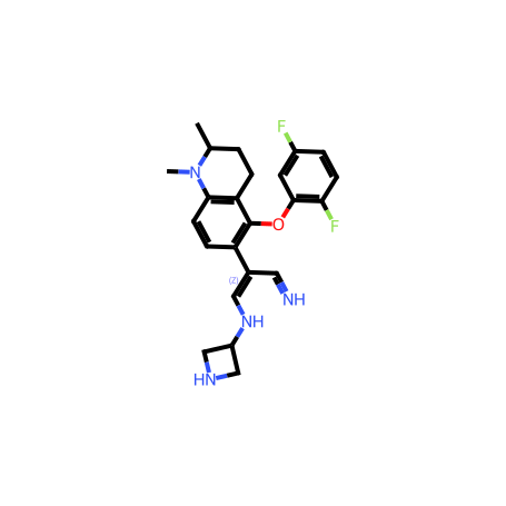 CC1CCc2c(ccc(/C(C=N)=C/NC3CNC3)c2Oc2cc(F)ccc2F)N1C